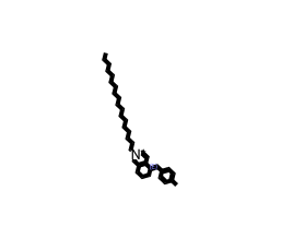 CCCCCCCCCCCCCCCCCC[n+]1ccc2c(c1)CCC/C2=C\c1ccc(C)cc1